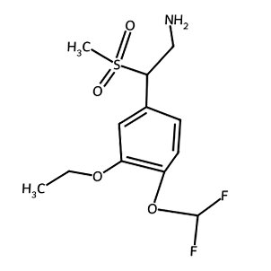 CCOc1cc(C(CN)S(C)(=O)=O)ccc1OC(F)F